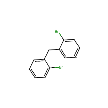 Brc1cc[c]cc1Cc1c[c]ccc1Br